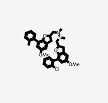 COc1cc2c(c(-c3ccccc3C)c1)OC(CN(C)N(C)CC1Cc3cc(OC)cc(-c4ccccc4Cl)c3O1)C2